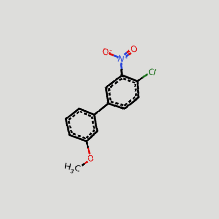 COc1cccc(-c2ccc(Cl)c([N+](=O)[O-])c2)c1